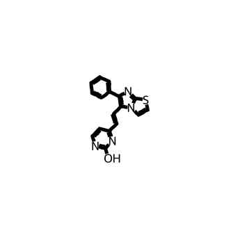 Oc1nccc(/C=C/c2c(-c3ccccc3)nc3sccn23)n1